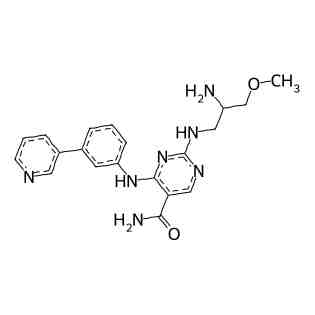 COCC(N)CNc1ncc(C(N)=O)c(Nc2cccc(-c3cccnc3)c2)n1